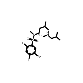 CC(C)CNC[C@@H](CC(C)C)N(C)S(=O)(=O)c1cc(Br)c(F)cc1F